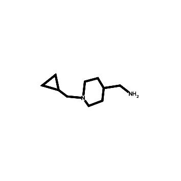 NCC1CCN(CC2CC2)CC1